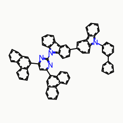 c1ccc(-c2cccc(-n3c4ccccc4c4cc(-c5ccc6c(c5)c5ccccc5n6-c5nc(-c6cc7ccccc7c7ccccc67)cc(-c6cc7ccccc7c7ccccc67)n5)ccc43)c2)cc1